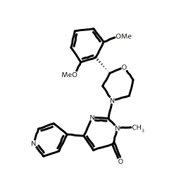 COc1cccc(OC)c1[C@H]1CN(c2nc(-c3ccncc3)cc(=O)n2C)CCO1